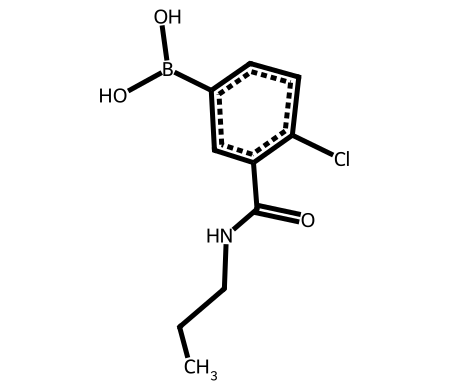 CCCNC(=O)c1cc(B(O)O)ccc1Cl